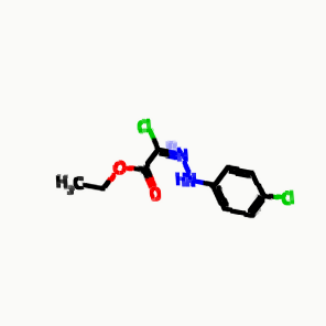 CCOC(=O)/C(Cl)=N\Nc1ccc(Cl)cc1